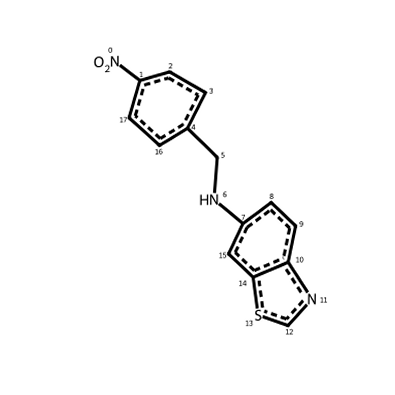 O=[N+]([O-])c1ccc(CNc2ccc3ncsc3c2)cc1